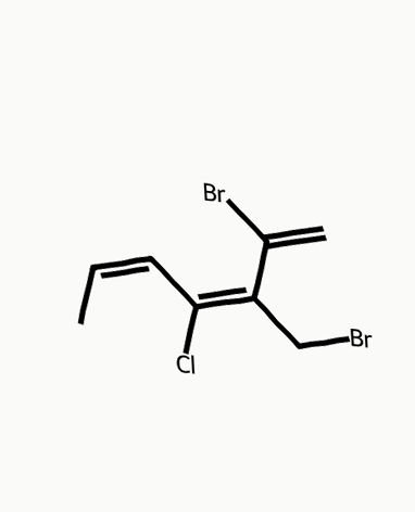 C=C(Br)/C(CBr)=C(Cl)\C=C/C